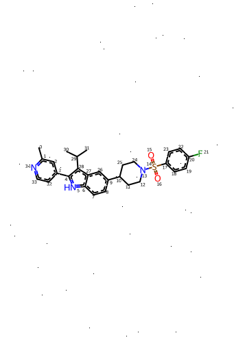 Cc1cc(-c2[nH]c3ccc(C4CCN(S(=O)(=O)c5ccc(F)cc5)CC4)cc3c2C(C)C)ccn1